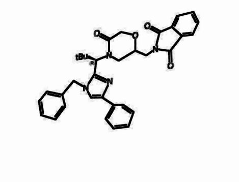 CC(C)(C)[C@H](c1nc(-c2ccccc2)cn1Cc1ccccc1)N1CC(CN2C(=O)c3ccccc3C2=O)OCC1=O